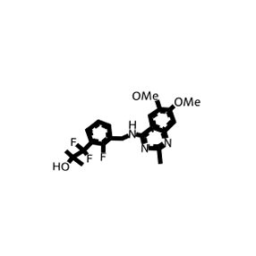 COc1cc2nc(C)nc(NCc3cccc(C(F)(F)C(C)(C)O)c3F)c2cc1OC